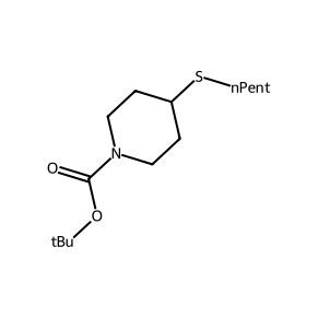 CCCCCSC1CCN(C(=O)OC(C)(C)C)CC1